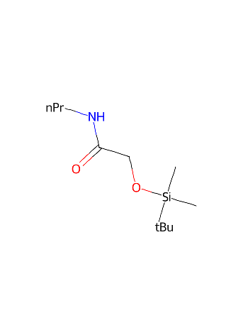 CCCNC(=O)CO[Si](C)(C)C(C)(C)C